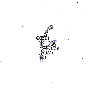 C/C=C1\CC2C=Nc3cc(OCc4cc(OCCN(CCCC(=O)OCC)C(=O)CCOCCOCCOCCN5CCOCC5)cc(COc5cc6c(cc5OC)C(=O)N5C/C(=C/C)C[C@H]5C=N6)n4)c(OC)cc3C(=O)N2C1